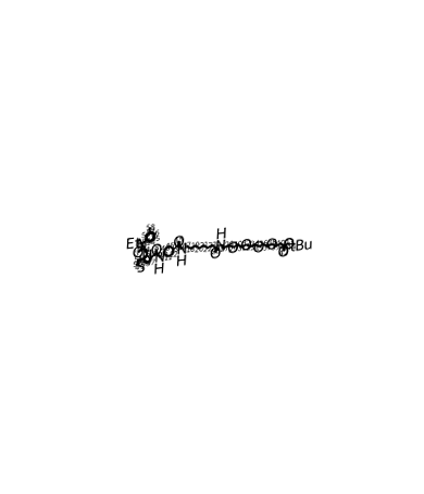 CCN(C(=O)Cn1c(C(=O)N[C@H]2CC[C@H](C(=O)NCCCCCCCC(=O)NCCOCCOCCOCCOCCC(=O)OC(C)(C)C)CC2)cc2sccc21)c1cccc(C)c1